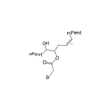 CCCCC/C=C\CC(OC(=O)CBr)C(O)CCCCC